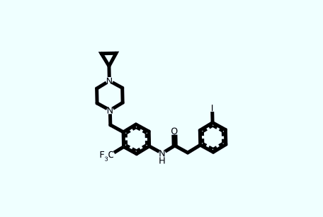 O=C(Cc1cccc(I)c1)Nc1ccc(CN2CCN(C3CC3)CC2)c(C(F)(F)F)c1